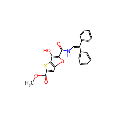 COC(=O)c1cc2oc(C(=O)NC=C(c3ccccc3)c3ccccc3)c(O)c2s1